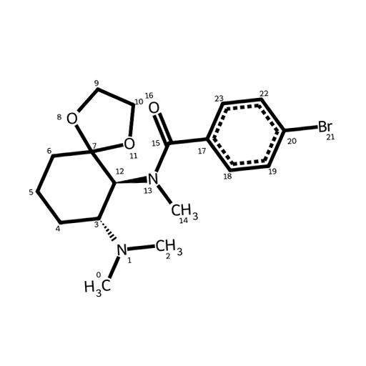 CN(C)[C@@H]1CCCC2(OCCO2)[C@H]1N(C)C(=O)c1ccc(Br)cc1